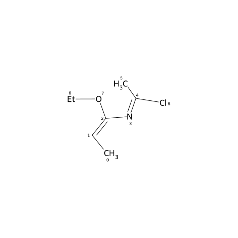 C/C=C(\N=C(/C)Cl)OCC